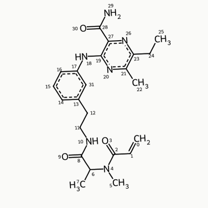 C=CC(=O)N(C)C(C)C(=O)NCCc1cccc(Nc2nc(C)c(CC)nc2C(N)=O)c1